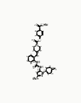 COC(=O)c1ccc(OC(=O)N2CCC(Cc3ccccc3NC(=O)Nc3cc(C(C)(C)C)nn3-c3ccc(C)cc3)CC2)cc1